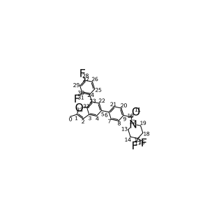 Cc1cc2cc(-c3ccc(C(=O)N4CCC(F)(F)CC4)cc3)cc(-c3ccc(F)cc3F)c2o1